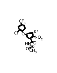 CS(=O)(=O)NC(=O)c1cc(Oc2ccc(C(F)(F)F)cc2Cl)ccc1[N+](=O)[O-].[K+]